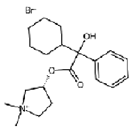 C[N+]1(C)CC[C@@H](OC(=O)C(O)(c2ccccc2)C2CCCCC2)C1.[Br-]